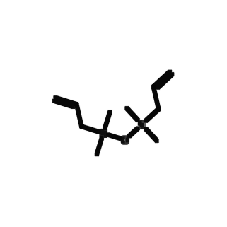 C=CC[Si](C)(C)O[Si](C)(C)CC=C